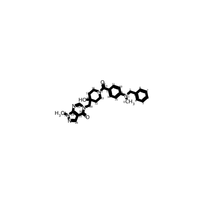 CN(Cc1ccccc1)c1ccc(C(=O)N2CCC(O)(Cn3cnc4c(cnn4C)c3=O)CC2)cc1